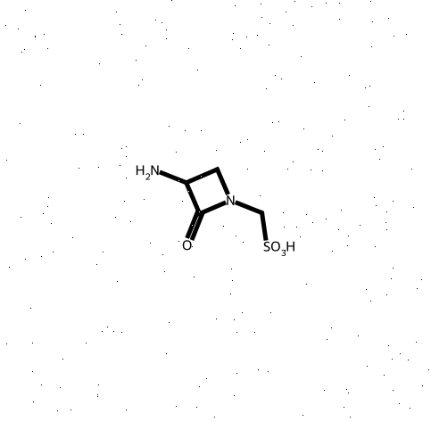 NC1CN(CS(=O)(=O)O)C1=O